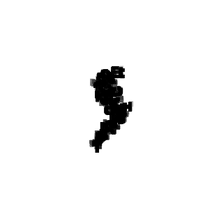 CCC(=O)Cn1c(=O)c2c(ncn2[C@@H](C)C(=O)Nc2csc(-c3cnc(N4CC5C(C4)C5(C)F)nc3)n2)n(C)c1=O